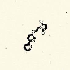 O=C1C=CC(=O)N1CCOc1ccc(-c2ccccn2)nn1